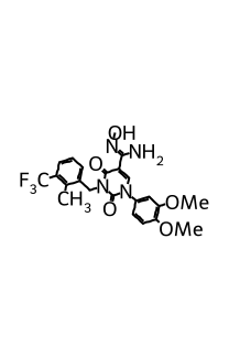 COc1ccc(-n2cc(/C(N)=N/O)c(=O)n(Cc3cccc(C(F)(F)F)c3C)c2=O)cc1OC